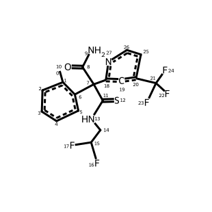 Cc1ccccc1C(C(N)=O)(C(=S)NCC(F)F)c1cc(C(F)(F)F)ccn1